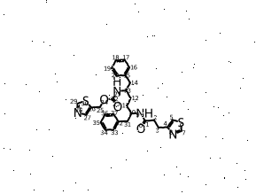 O=C(CCc1cscn1)NC(CCC(Cc1ccccc1)NC(=O)OCc1cncs1)Cc1ccccc1